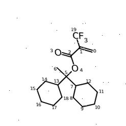 C=C(C(=O)OC(C)(C1CCCCC1)C1CCCCC1)C(F)(F)F